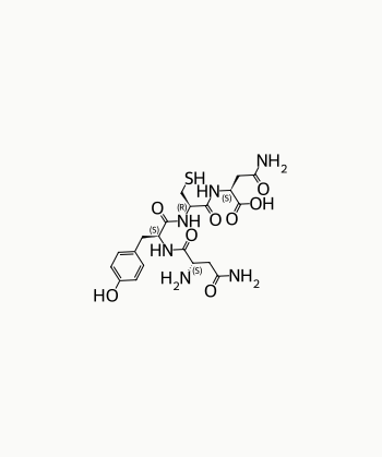 NC(=O)C[C@H](NC(=O)[C@H](CS)NC(=O)[C@H](Cc1ccc(O)cc1)NC(=O)[C@@H](N)CC(N)=O)C(=O)O